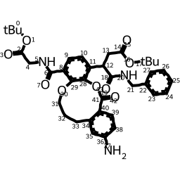 CC(C)(C)OC(=O)CNC(=O)c1ccc(C(CC(=O)OC(C)(C)C)C(=O)NCc2ccccc2)c2c1OCCCc1cc(N)ccc1C(=O)O2